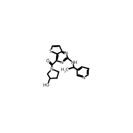 CC(Nc1nc(C(=O)N2CCC(O)C2)c2sccc2n1)c1cccnc1